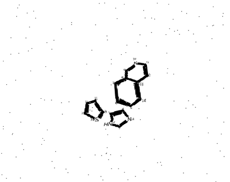 c1c[nH]cn1.c1ccc2cnccc2c1.c1ccsc1